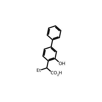 CCC(C(=O)O)c1ccc(-c2ccccc2)cc1O